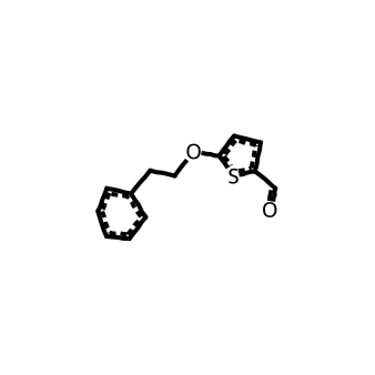 O=Cc1ccc(OCCc2ccccc2)s1